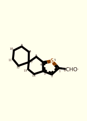 O=[C]c1cc2c(s1)CC1(CCCCC1)CC2